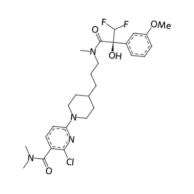 COc1cccc([C@](O)(C(=O)N(C)CCCC2CCN(c3ccc(C(=O)N(C)C)c(Cl)n3)CC2)C(F)F)c1